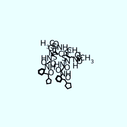 CS(=O)(=O)C(N)c1nc(NC(=O)C(=O)Nc2ccccc2C(=O)C2CCCC2)sc1Cl.CSc1sc(NC(=O)C(=O)Nc2ccccc2C(=O)C2CCCC2)nc1CNS(C)(=O)=O